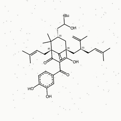 C=C(C)[C@@H](CC=C(C)C)C[C@@]12C[C@@H](CC(O)C(C)(C)C)C(C)(C)[C@@](CC=C(C)C)(C(=O)C(C(=O)c3ccc(O)c(O)c3)=C1O)C2=O